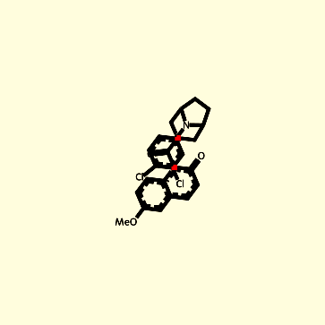 COc1ccc2c(ccc(=O)n2C(=O)N2CC3CCC(C2)N3c2ccc(Cl)c(Cl)c2)c1